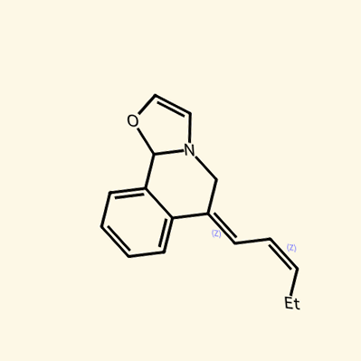 CC/C=C\C=C1/CN2C=COC2c2ccccc21